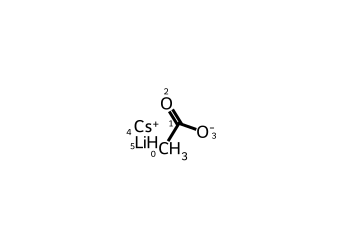 CC(=O)[O-].[Cs+].[LiH]